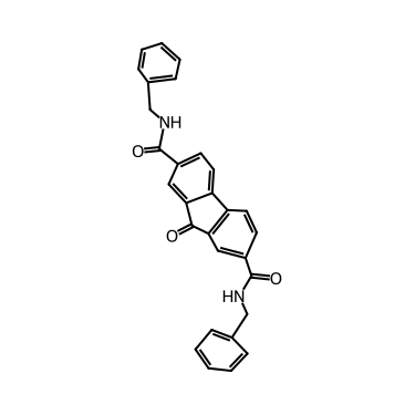 O=C(NCc1ccccc1)c1ccc2c(c1)C(=O)c1cc(C(=O)NCc3ccccc3)ccc1-2